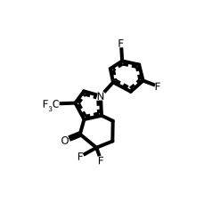 O=C1c2c(C(F)(F)F)cn(-c3cc(F)cc(F)c3)c2CCC1(F)F